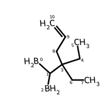 BC(B)C(CC)(CC)CC=C